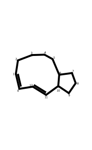 C1=C\CCCCC2CCC[C]2/C=C/1